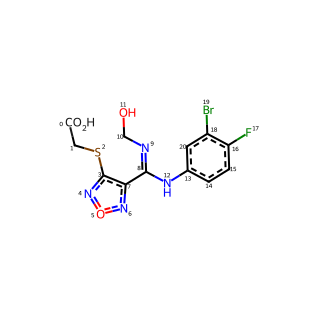 O=C(O)CSc1nonc1C(=NCO)Nc1ccc(F)c(Br)c1